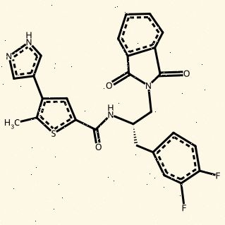 Cc1sc(C(=O)N[C@@H](Cc2ccc(F)c(F)c2)CN2C(=O)c3ccccc3C2=O)cc1-c1cn[nH]c1